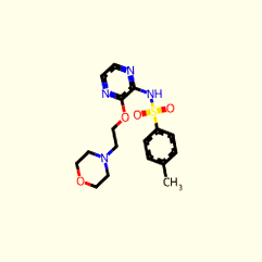 Cc1ccc(S(=O)(=O)Nc2nccnc2OCCN2CCOCC2)cc1